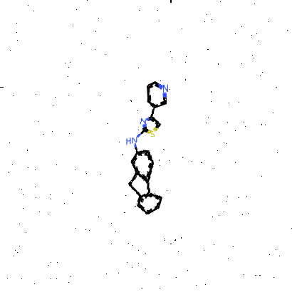 c1cncc(-c2csc(Nc3ccc4c(c3)Cc3ccccc3-4)n2)c1